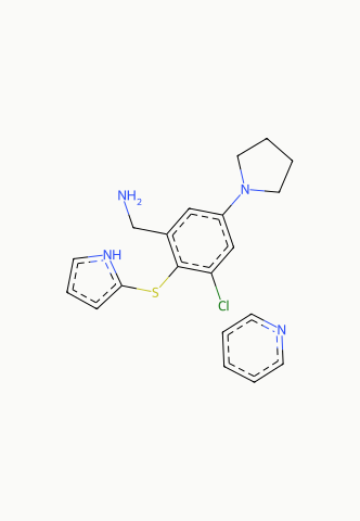 NCc1cc(N2CCCC2)cc(Cl)c1Sc1ccc[nH]1.c1ccncc1